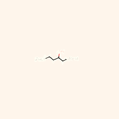 CCCCCCC(O)CCC(C)CCC